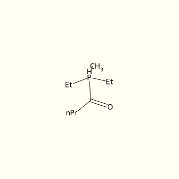 CCCC(=O)[PH](C)(CC)CC